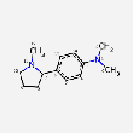 CN(C)c1ccc(C2CCCN2C)cc1